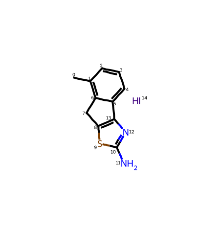 Cc1cccc2c1Cc1sc(N)nc1-2.I